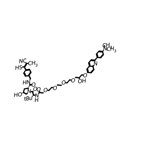 C/C(C#N)=C(/S)c1ccc(CNC(=O)[C@@H]2C[C@@H](O)CN2C(=O)[C@@H](NC(=O)COCCOCCOCCOCC(O)COc2ccc3nc(-c4ccc(N(C)C)cc4)ccc3c2)C(C)(C)C)cc1